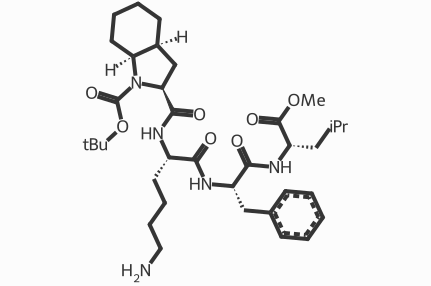 COC(=O)[C@H](CC(C)C)NC(=O)[C@H](Cc1ccccc1)NC(=O)[C@H](CCCCN)NC(=O)[C@@H]1C[C@@H]2CCCC[C@@H]2N1C(=O)OC(C)(C)C